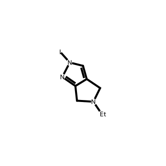 CCN1Cc2cn(I)nc2C1